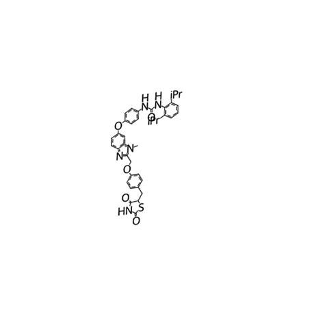 CC(C)c1cccc(C(C)C)c1NC(=O)Nc1ccc(Oc2ccc3nc(COc4ccc(CC5SC(=O)NC5=O)cc4)n(C)c3c2)cc1